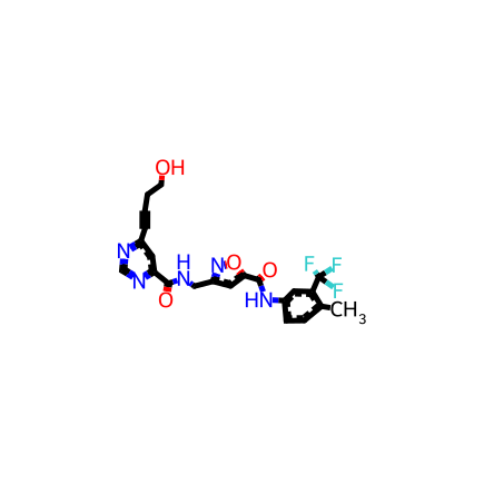 Cc1ccc(NC(=O)c2cc(CNC(=O)c3cc(C#CCCO)ncn3)no2)cc1C(F)(F)F